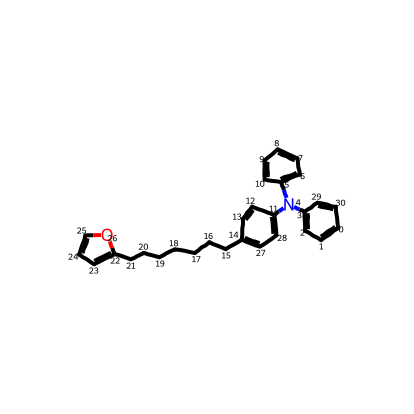 c1ccc(N(c2ccccc2)c2ccc(CCCCCCCc3ccco3)cc2)cc1